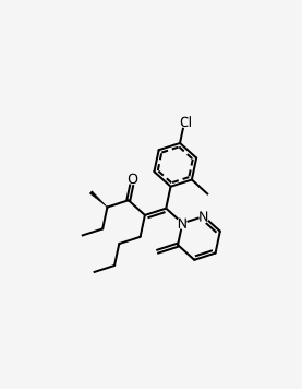 C=C1C=CC=NN1/C(=C(\CCCC)C(=O)[C@H](C)CC)c1ccc(Cl)cc1C